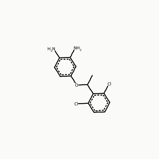 CC(Oc1ccc(N)c(N)c1)c1c(Cl)cccc1Cl